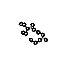 c1ccc(-c2cccc(-c3ccc(N(c4ccccc4)c4cccc(-c5ccc(-c6ccc7c(c6)c6ccccc6n7-c6cc(-c7ccc8ccccc8c7)cc(-c7cccc8ccccc78)c6)cc5)c4)cc3)c2)cc1